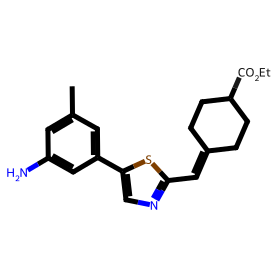 CCOC(=O)C1CCC(=Cc2ncc(-c3cc(C)cc(N)c3)s2)CC1